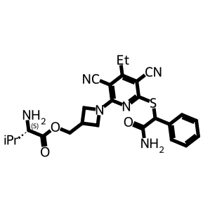 CCc1c(C#N)c(SC(C(N)=O)c2ccccc2)nc(N2CC(COC(=O)[C@@H](N)C(C)C)C2)c1C#N